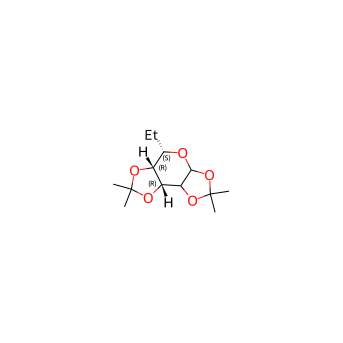 CC[C@@H]1OC2OC(C)(C)OC2[C@@H]2OC(C)(C)O[C@H]12